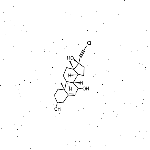 C[C@]12CC[C@H](O)CC1=C[C@H](O)[C@@H]1[C@@H]2CC[C@@]2(C)[C@H]1CC[C@@]2(O)C#CCl